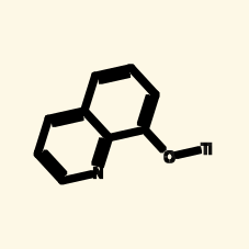 [Ti][O]c1cccc2cccnc12